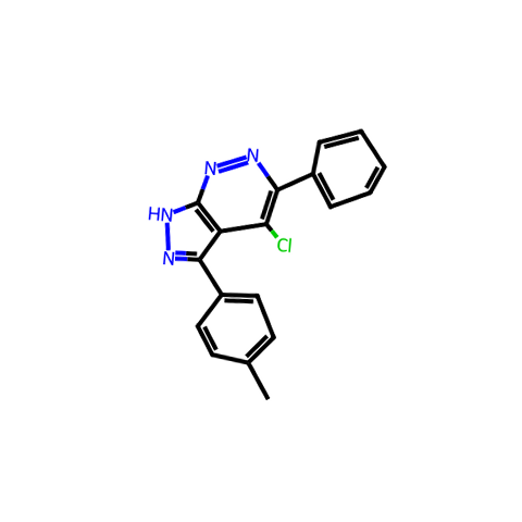 Cc1ccc(-c2n[nH]c3nnc(-c4ccccc4)c(Cl)c23)cc1